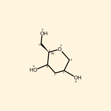 OC[C@H]1OCC(O)CC1O